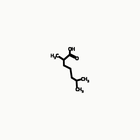 CC(C)CCCC(C)C(=O)O